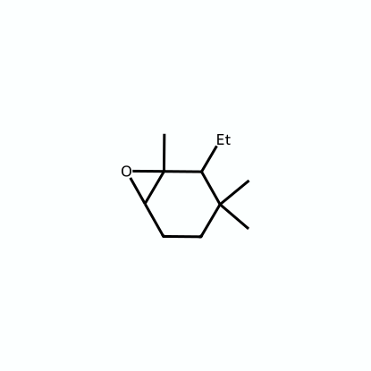 CCC1C(C)(C)CCC2OC21C